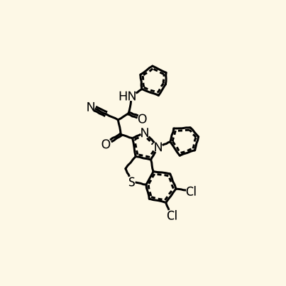 N#CC(C(=O)Nc1ccccc1)C(=O)c1nn(-c2ccccc2)c2c1CSc1cc(Cl)c(Cl)cc1-2